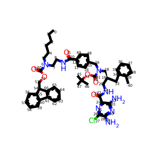 CCCCCCN(CCNC(=O)c1ccc(CN(C[C@H](CNC(=O)c2nc(Cl)c(N)nc2N)Cc2ccccc2C)C(=O)OC(C)(C)C)cc1)C(=O)OCC1c2ccccc2-c2ccccc21